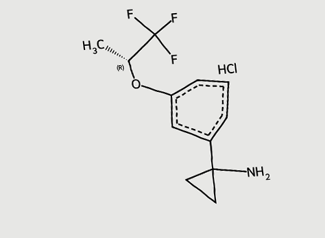 C[C@@H](Oc1cccc(C2(N)CC2)c1)C(F)(F)F.Cl